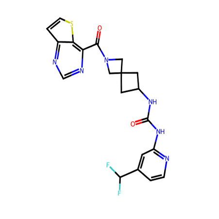 O=C(Nc1cc(C(F)F)ccn1)NC1CC2(C1)CN(C(=O)c1ncnc3ccsc13)C2